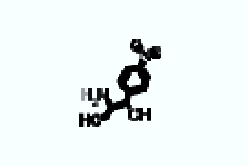 NC(CO)[C@H](O)c1ccc([N+](=O)[O-])cc1